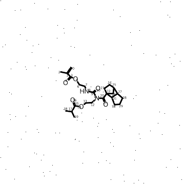 C=C(C)C(=O)OCCNC(=O)N(CCOC(=O)C(C)C)C(=O)C12CCC(C1)C1CCCC12